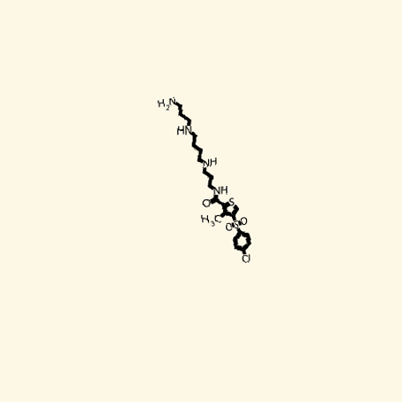 Cc1c(S(=O)(=O)c2ccc(Cl)cc2)csc1C(=O)NCCCNCCCCNCCCN